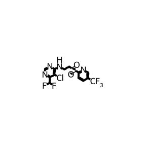 O=S(=O)(CCNc1ncnc(C(F)F)c1Cl)c1ccc(C(F)(F)F)cn1